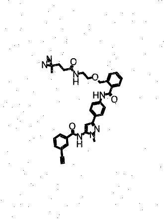 C#Cc1cccc(C(=O)Nc2cc(-c3ccc(NC(=O)c4ccccc4COCCNC(=O)CCC4(C)N=N4)cc3)nn2C)c1